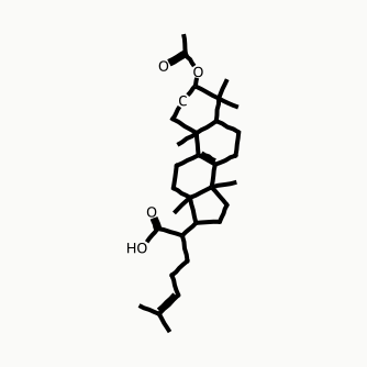 CC(=O)OC1CCC2(C)C3=C(CCC2C1(C)C)C1(C)CCC(C(CCC=C(C)C)C(=O)O)C1(C)CC3